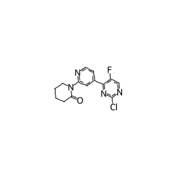 O=C1CCCCN1c1cc(-c2nc(Cl)ncc2F)ccn1